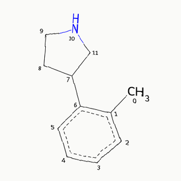 Cc1ccccc1C1CCNC1